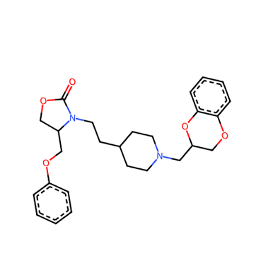 O=C1OCC(COc2ccccc2)N1CCC1CCN(CC2COc3ccccc3O2)CC1